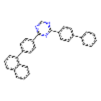 c1ccc(-c2ccc(-c3ncnc(-c4ccc(-c5cccc6ccccc56)cc4)n3)cc2)cc1